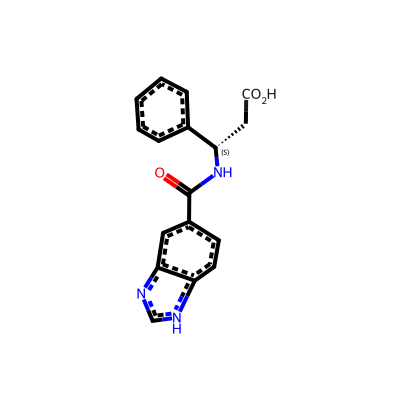 O=C(O)C[C@H](NC(=O)c1ccc2[nH]cnc2c1)c1ccccc1